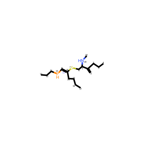 C=C(CCC)C(CS/C(=C/PCCC)CCCC)NC